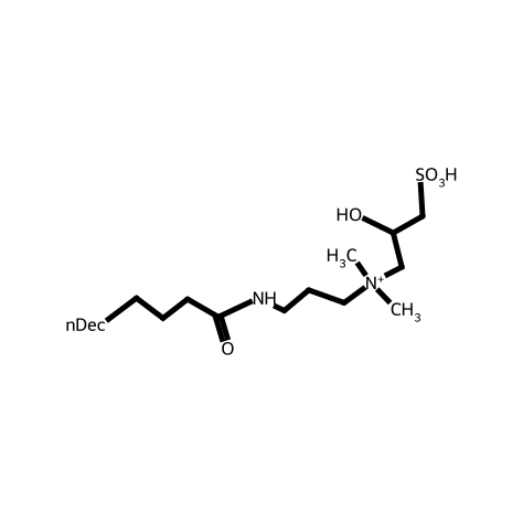 CCCCCCCCCCCCCC(=O)NCCC[N+](C)(C)CC(O)CS(=O)(=O)O